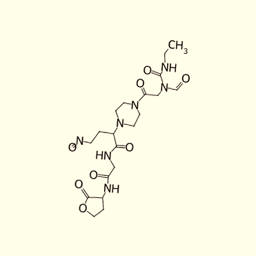 CCNC(=O)N(C=O)CC(=O)N1CCN(C(CCN=O)C(=O)NCC(=O)NC2CCOC2=O)CC1